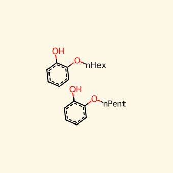 CCCCCCOc1ccccc1O.CCCCCOc1ccccc1O